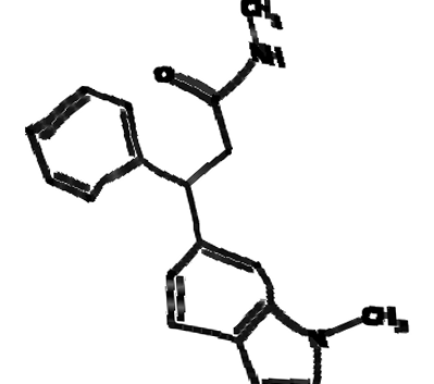 CNC(=O)CC(c1ccccc1)c1ccc2ccn(C)c2c1